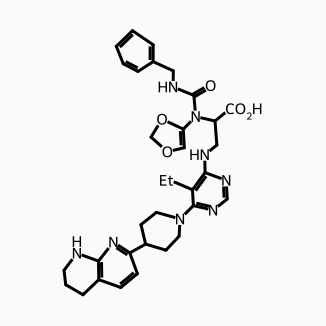 CCc1c(NCC(C(=O)O)N(C(=O)NCc2ccccc2)C2=COCO2)ncnc1N1CCC(c2ccc3c(n2)NCCC3)CC1